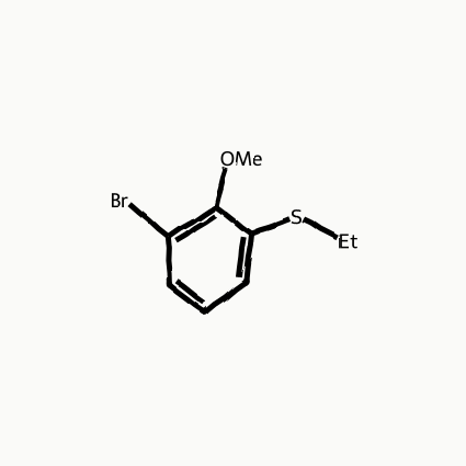 CCSc1cccc(Br)c1OC